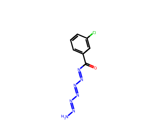 NN=NN=NN=NC(=O)c1cccc(Cl)c1